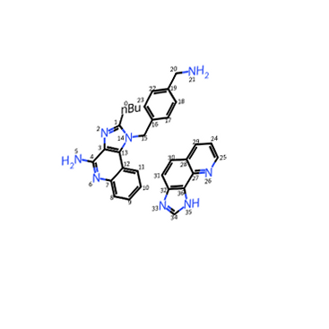 CCCCc1nc2c(N)nc3ccccc3c2n1Cc1ccc(CN)cc1.c1cnc2c(c1)ccc1nc[nH]c12